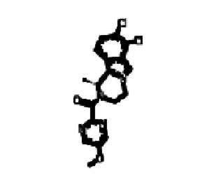 COc1cnc(C(=O)N2CCn3cc4c(Cl)c(Cl)ccc4c3[C@H]2C)nc1